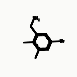 BCc1cc(C(C)C)cc(C)c1C